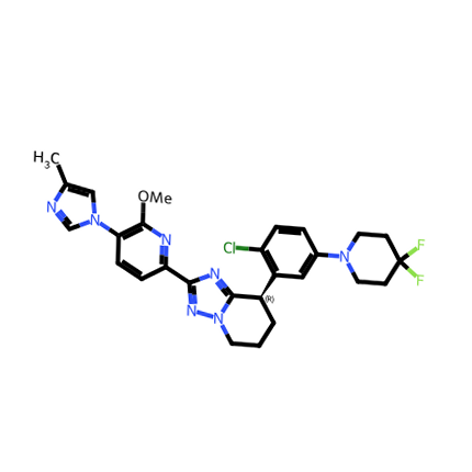 COc1nc(-c2nc3n(n2)CCC[C@@H]3c2cc(N3CCC(F)(F)CC3)ccc2Cl)ccc1-n1cnc(C)c1